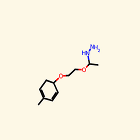 CC1=CCC(OCCOC(C)NN)C=C1